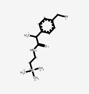 CC(C)Cc1ccc(C(C)C(=O)NCC[N+](C)(C)C)cc1